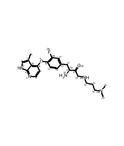 Cc1c[nH]c2nccc(Oc3ccc(C[C@H](N)C(=O)CNCCCN(C)C)cc3F)c12